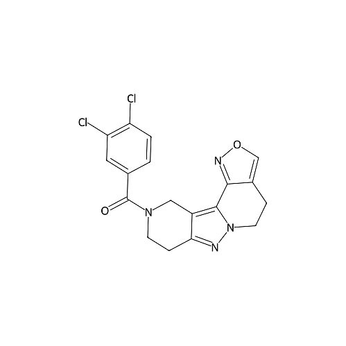 O=C(c1ccc(Cl)c(Cl)c1)N1CCc2nn3c(c2C1)-c1nocc1CC3